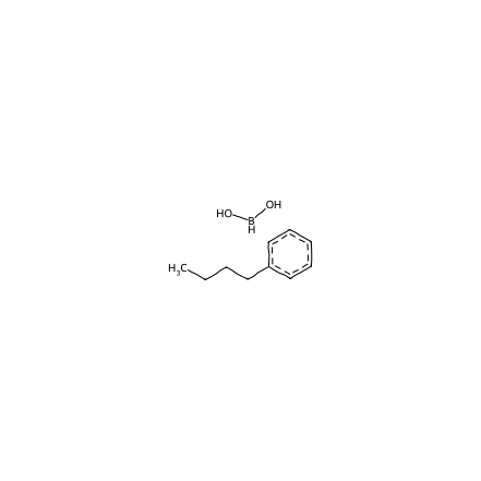 CCCCc1ccccc1.OBO